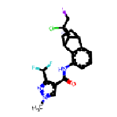 Cn1cc(C(=O)Nc2cccc3c2C2CCC3/C2=C(/Cl)CI)c(C(F)F)n1